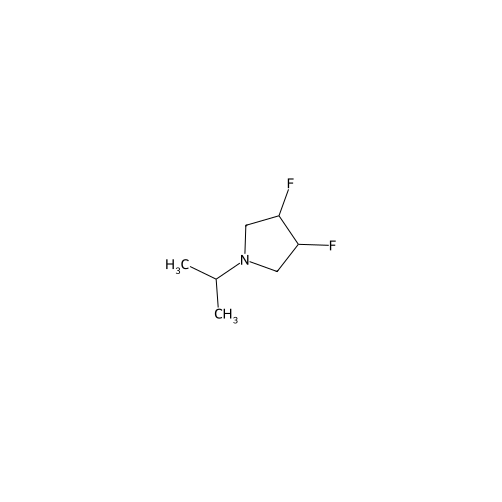 CC(C)N1CC(F)C(F)C1